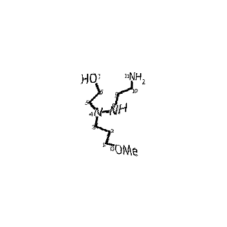 COCCCN(CCO)NCCN